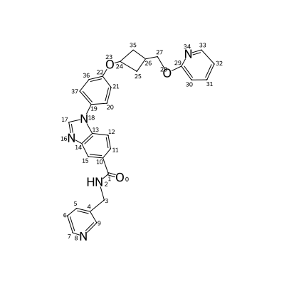 O=C(NCc1cccnc1)c1ccc2c(c1)ncn2-c1ccc(OC2CC(COc3ccccn3)C2)cc1